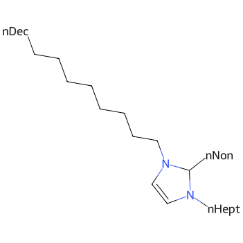 CCCCCCCCCCCCCCCCCCN1C=CN(CCCCCCC)C1CCCCCCCCC